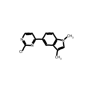 Cc1cn(C)c2ccc(-c3ccnc(Cl)n3)cc12